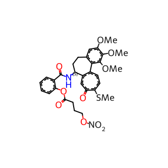 COc1cc2c(c(OC)c1OC)-c1ccc(SC)c(=O)cc1[C@@H](NC(=O)c1ccccc1OC(=O)CCCO[N+](=O)[O-])CC2